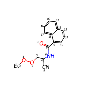 CCOOCC(C#N)NC(=O)c1cccc2ccccc12